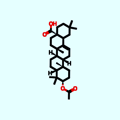 CC(=O)O[C@H]1CC[C@]2(C)[C@H]3CC=C4C5CC(C)(C)CC[C@]5(C(=O)O)CC[C@@]4(C)[C@@H]3CC[C@H]2C1(C)C